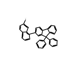 Ic1ccc2cccc(-c3ccc4c(c3)C(c3ccccc3)(c3ccccc3)c3ccccc3-4)c2c1